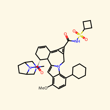 COc1ccc(C2CCCCC2)c2c1cc1n2CC2=C(C(=O)NS(=O)(=O)C3CCC3)C2=C2C=CC[C@@H](C(=O)N3C4CCC3CN(C)C4)C21